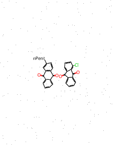 CCCCCc1ccc2c(c1)C(=O)c1ccccc1C2=O.O=C1c2ccccc2C(=O)c2c(Cl)cccc21